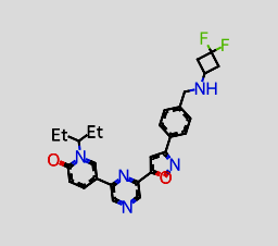 CCC(CC)n1cc(-c2cncc(-c3cc(-c4ccc(CNC5CC(F)(F)C5)cc4)no3)n2)ccc1=O